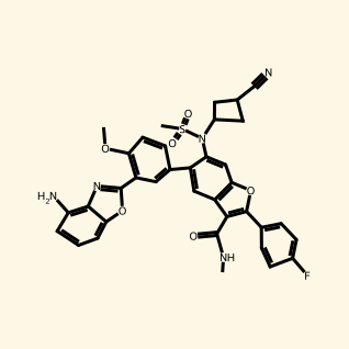 CNC(=O)c1c(-c2ccc(F)cc2)oc2cc(N(C3CC(C#N)C3)S(C)(=O)=O)c(-c3ccc(OC)c(-c4nc5c(N)cccc5o4)c3)cc12